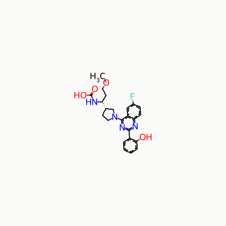 COCCC(NC(=O)O)[C@H]1CCN(c2nc(-c3ccccc3O)nc3ccc(F)cc23)C1